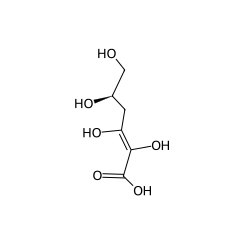 O=C(O)C(O)=C(O)C[C@@H](O)CO